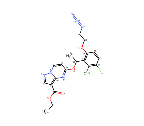 CCOC(=O)c1cnn2ccc(OC(C)c3c(OCCN=[N+]=[N-])ccc(F)c3Cl)nc12